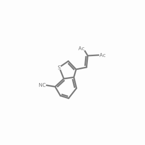 CC(=O)C(=Cc1csc2c(C#N)cccc12)C(C)=O